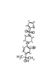 CC(C)(O)c1ccc(N2CCN(S(=O)(=O)c3cccs3)CC2)c(Br)c1